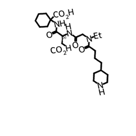 CCN(CC(=O)N[C@@H](CC(=O)O)C(=O)NC1(C(=O)O)CCCCC1)C(=O)CCCC1CCNCC1